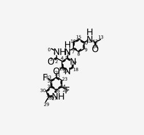 CNC(=O)c1c(Nc2ccc(NC(C)=O)cc2)ncnc1Oc1cc(F)c2[nH]c(C)cc2c1F